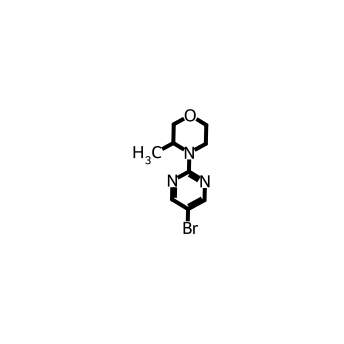 CC1COCCN1c1ncc(Br)cn1